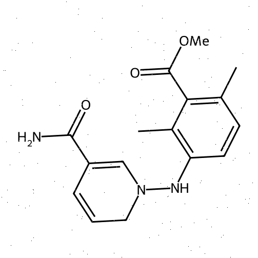 COC(=O)c1c(C)ccc(NN2C=C(C(N)=O)C=CC2)c1C